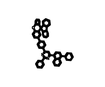 C1=CCCC(c2ccc(-c3cc(-c4ccc(-c5ccc6c(c5)C5(C7=C(C=CC=CC7)c7ccccc75)c5ccccc5O6)cc4)nc(-c4ccccc4)n3)c3ccccc23)=C1